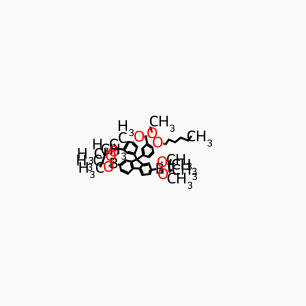 CCCCCCOc1ccc(C2(c3ccc(C)c(C(C)=O)c3)c3cc(B4OC(C)(C)C(C)(C)O4)ccc3-c3ccc(B4OC(C)(C)C(C)(C)O4)cc32)cc1C(=O)OCC